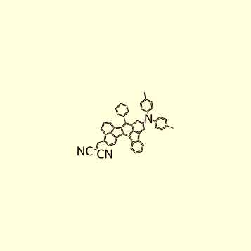 Cc1ccc(N(c2ccc(C)cc2)c2cc3c(-c4ccccc4)c4c5cccc6c(C=C(C#N)C#N)ccc(c65)c4c4c5ccccc5c(c2)c34)cc1